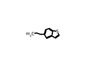 [CH2]CCc1ccc2sccc2c1